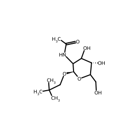 CC(=O)NC1C(O)[C@H](O)C(CO)O[C@H]1OCC(C)(C)C